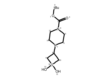 CC(C)(C)OC(=O)N1CCN(C2CS(O)(O)C2)CC1